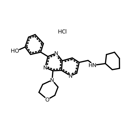 Cl.Oc1cccc(-c2nc(N3CCOCC3)c3ncc(CNC4CCCCC4)cc3n2)c1